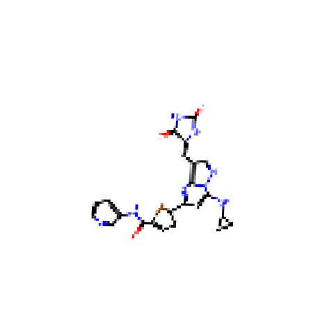 O=C1NC(=O)/C(=C/c2cnn3c(NC4CC4)cc(C4CC=C(C(=O)Nc5cccnc5)S4)nc23)N1